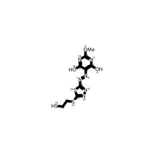 COc1nc(O)c(/N=N/c2nnc(SCCS)s2)c(O)n1